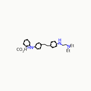 CCN(CC)CCNc1ccc(CCc2ccc(Nc3ccccc3C(=O)O)cc2)cc1